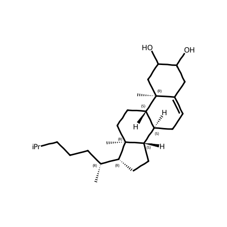 CC(C)CCC[C@@H](C)[C@H]1CC[C@H]2[C@@H]3CC=C4C[C](O)C(O)C[C@]4(C)[C@H]3CC[C@]12C